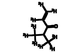 [2H]C([2H])=C([2H])C(=O)C(C([2H])([2H])[2H])C([2H])([2H])[2H]